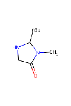 CCCCC1NCC(=O)N1C